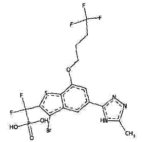 Cc1nnc(-c2cc(OCCCC(F)(F)F)c3sc(C(F)(F)P(=O)(O)O)c(Br)c3c2)[nH]1